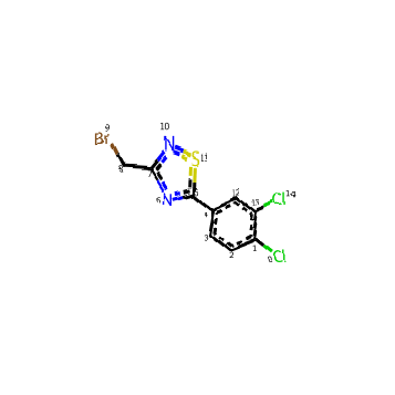 Clc1ccc(-c2nc(CBr)ns2)cc1Cl